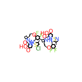 Cc1cnsc1[C@H]1c2ccc(F)c(F)c2OC/C=C\C2(CC(c3cc4c(c(F)c3F)OC/C=C/C3(CCC3)N3CN([C@H]4c4sc(Cl)cc4C)n4ccc(=O)c(O)c4C3=O)C2)N2CN1n1ccc(=O)c(O)c1C2=O